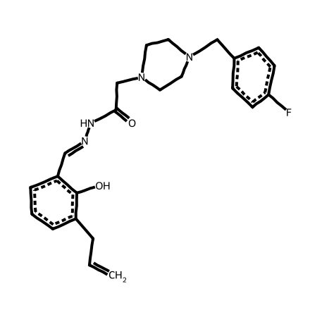 C=CCc1cccc(C=NNC(=O)CN2CCN(Cc3ccc(F)cc3)CC2)c1O